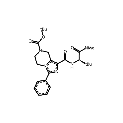 CNC(=O)[C@H](NC(=O)c1nc(-c2ccccc2)n2c1CN(C(=O)OC(C)(C)C)CC2)C(C)(C)C